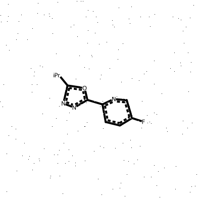 CC(C)c1nnc(-c2ccc(F)cn2)o1